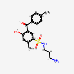 COc1cc(O)c(C(=O)c2ccc(C)cc2)cc1S(=O)(=O)NCCCN